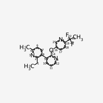 CCc1nc(C)ccc1-c1cccnc1Oc1ccc(C(C)(F)F)nc1